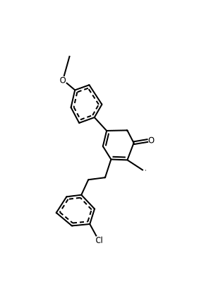 [CH2]C1=C(CCc2cccc(Cl)c2)C=C(c2ccc(OC)cc2)CC1=O